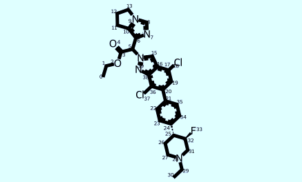 CCOC(=O)C(c1ncn2c1CCC2)n1cc2c(Cl)cc(-c3ccc([C@H]4CCN(CC)C[C@@H]4F)cc3)c(Cl)c2n1